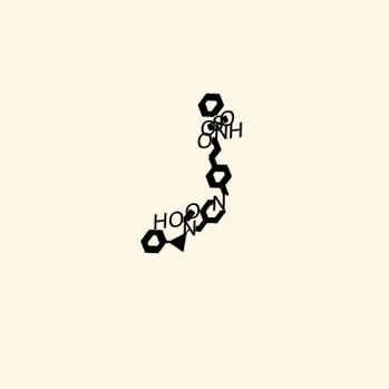 O=C(C=Cc1ccc(CN2CCC(CN(C(=O)O)[C@@H]3C[C@H]3c3ccccc3)CC2)cc1)NS(=O)(=O)c1ccccc1